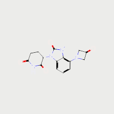 Cn1c(=O)n([C@@H]2CCC(=O)NC2=O)c2cccc(N3CC(=O)C3)c21